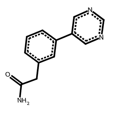 NC(=O)Cc1cccc(-c2cncnc2)c1